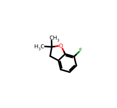 CC1(C)Cc2cccc(F)c2O1